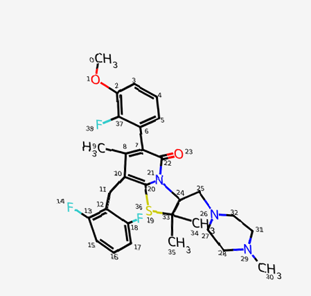 COc1cccc(-c2c(C)c(Cc3c(F)cccc3F)c3n(c2=O)C(CN2CCN(C)CC2)C(C)(C)S3)c1F